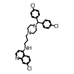 Clc1ccc(C(c2ccc(Cl)cc2)N2CCN(CCCNc3ccnc4cc(Cl)ccc34)CC2)cc1